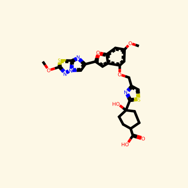 COc1cc(OCc2csc(C3(O)CCC(C(=O)O)CC3)n2)c2cc(-c3cn4nc(OC)sc4n3)oc2c1